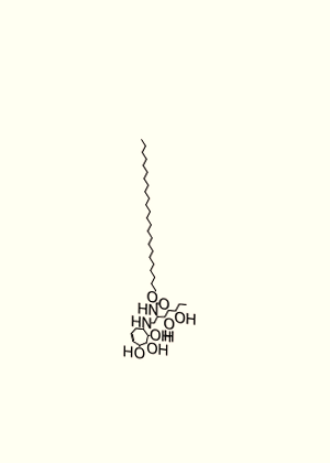 CCCCCCCCCCCCCCCCCCCCCCCCOC(=O)NC(CNC1CC=CC(O)C(O)C1O)C(O)CC(O)CC